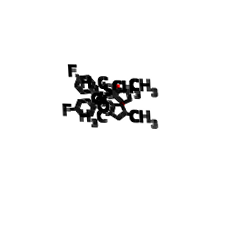 CC1=CC=[C]([Zr]([O]c2ccc(F)cc2)([O]c2ccc(F)cc2)([C]2=C(C)C=C(C)C2)=[Si](C)C)C1